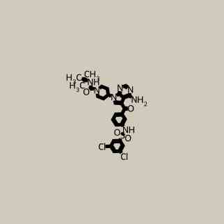 CC(C)(C)NC(=O)N1CCC(n2cc(C(=O)c3cccc(NS(=O)(=O)c4cc(Cl)cc(Cl)c4)c3)c3c(N)ncnc32)CC1